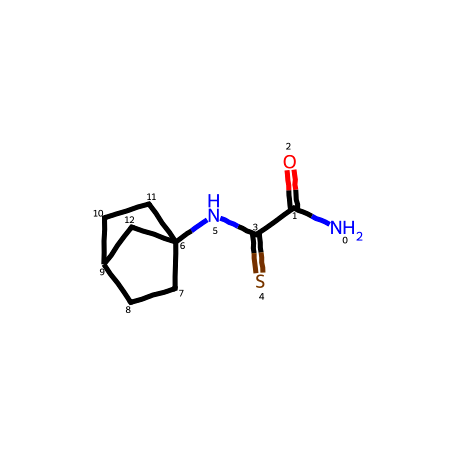 NC(=O)C(=S)NC12CCC(CC1)C2